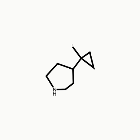 IC1(C2CCNCC2)CC1